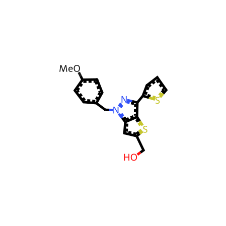 COc1ccc(Cn2nc(-c3cccs3)c3sc(CO)cc32)cc1